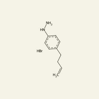 Br.C=CCCc1ccc(NN)cc1